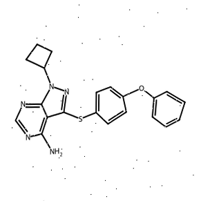 Nc1ncnc2c1c(Sc1ccc(Oc3ccccc3)cc1)nn2C1CCC1